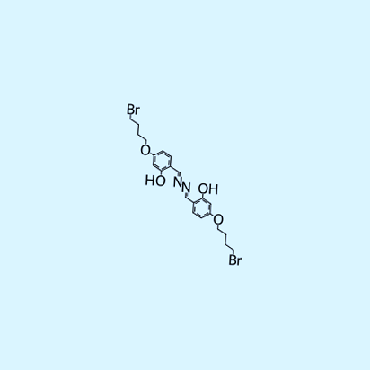 Oc1cc(OCCCCBr)ccc1C=NN=Cc1ccc(OCCCCBr)cc1O